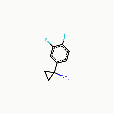 NC1(c2ccc(F)c(F)c2)CC1